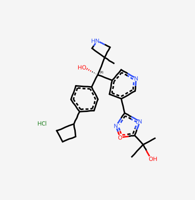 CC(C)(O)c1nc(-c2cncc([C@@](O)(c3ccc(C4CCC4)cc3)C3(C)CNC3)c2)no1.Cl